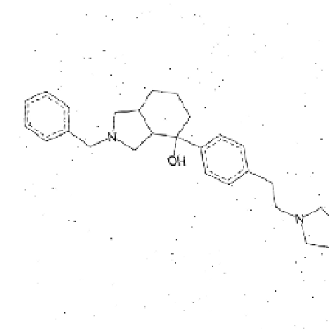 OC1(c2ccc(CCN3CCCC3)cc2)CCCC2CN(Cc3ccccc3)CC21